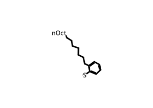 CCCCCCCCCCCCCCCc1ccccc1[S]